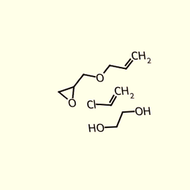 C=CCOCC1CO1.C=CCl.OCCO